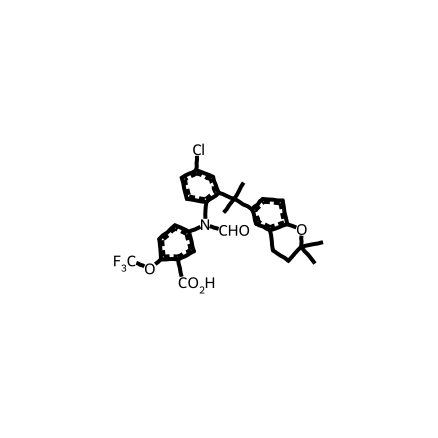 CC1(C)CCc2cc(C(C)(C)c3cc(Cl)ccc3N(C=O)c3ccc(OC(F)(F)F)c(C(=O)O)c3)ccc2O1